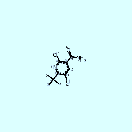 CC(C)(C)c1nc(Cl)c(C(N)=O)cc1Cl